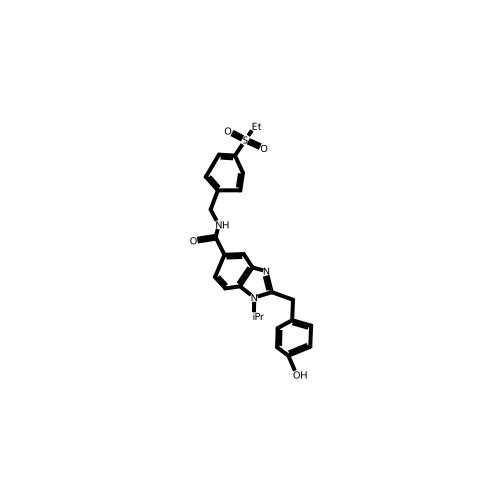 CCS(=O)(=O)c1ccc(CNC(=O)c2ccc3c(c2)nc(Cc2ccc(O)cc2)n3C(C)C)cc1